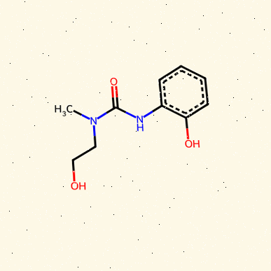 CN(CCO)C(=O)Nc1ccccc1O